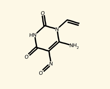 C=Cn1c(N)c(N=O)c(=O)[nH]c1=O